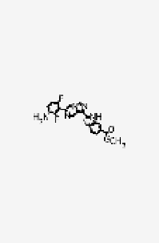 COC(=O)c1ccc2nc(-c3ncn4cc(-c5c(F)ccc(N)c5F)ncc34)[nH]c2c1